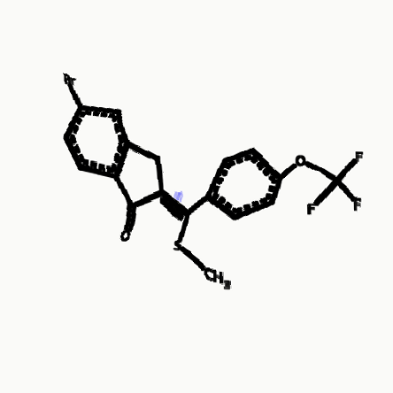 CS/C(=C1/Cc2cc(Br)ccc2C1=O)c1ccc(OC(F)(F)F)cc1